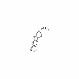 COc1ccc2c(c1)nc1n2C[C@@]2(CN3CCC2CC3)O1